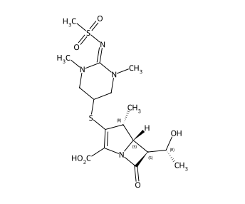 C[C@@H](O)[C@H]1C(=O)N2C(C(=O)O)=C(SC3CN(C)C(=NS(C)(=O)=O)N(C)C3)[C@H](C)[C@H]12